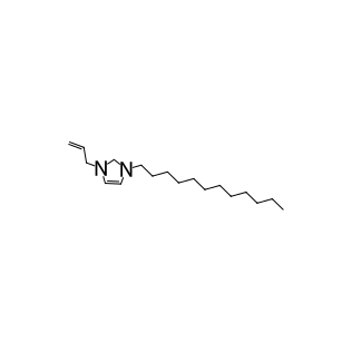 C=CCN1C=CN(CCCCCCCCCCCC)C1